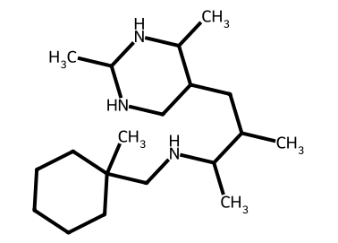 CC1NCC(CC(C)C(C)NCC2(C)CCCCC2)C(C)N1